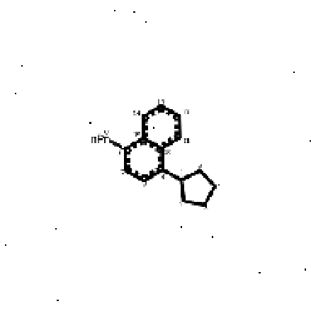 [CH2]CCc1ccc(C2CCCC2)c2ccccc12